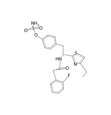 CCc1csc(C(Cc2ccc(OS(N)(=O)=O)cc2)NC(=O)Cc2ccccc2F)n1